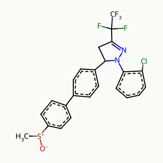 C[S+]([O-])c1ccc(-c2ccc(C3CC(C(F)(F)C(F)(F)F)=NN3c3ccccc3Cl)cc2)cc1